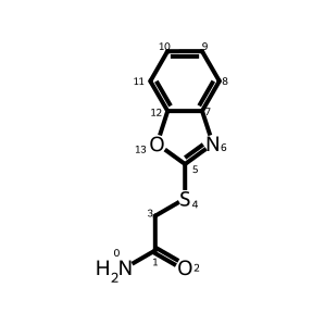 NC(=O)CSc1nc2ccccc2o1